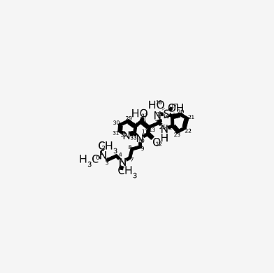 CN(C)CCN(C)CCCn1c(=O)c(C2=NS(O)(O)c3ccccc3N2)c(O)c2cccnc21